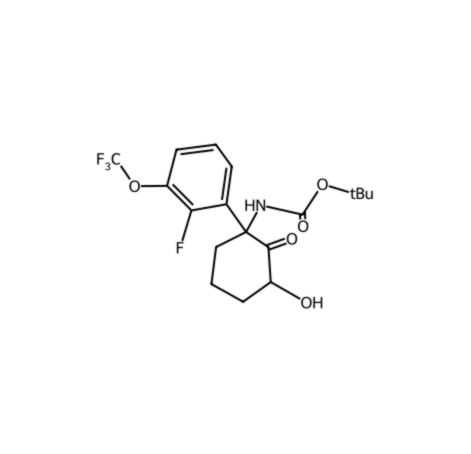 CC(C)(C)OC(=O)NC1(c2cccc(OC(F)(F)F)c2F)CCCC(O)C1=O